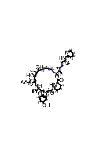 CC(=O)CC[C@H]1C(=O)N[C@@H](C(C)C)C(=O)N[C@@H](Cc2cccc(O)c2)C(=O)N2CCCC(N2)C(=O)O[C@H](/C(C)=C/C=C/C(=O)Nc2ccccn2)C/C=C/C=C/[C@H](O)[C@H](C)[C@H]1O